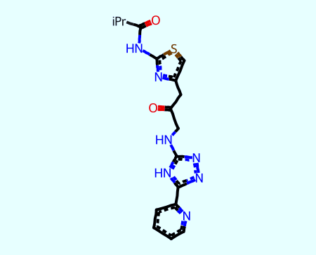 CC(C)C(=O)Nc1nc(CC(=O)CNc2nnc(-c3ccccn3)[nH]2)cs1